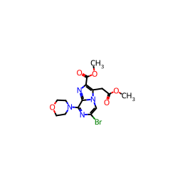 COC(=O)Cc1c(C(=O)OC)nc2c(N3CCOCC3)nc(Br)cn12